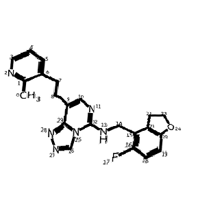 Cc1ncccc1CCc1cnc(NCc2c(F)ccc3c2CCO3)n2cnnc12